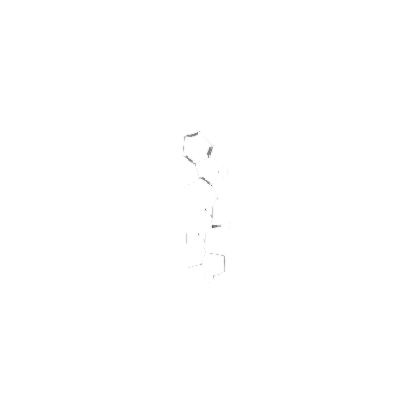 Cc1c([C@H](C)NC(=O)NC2CCOC2C)oc2ccccc12